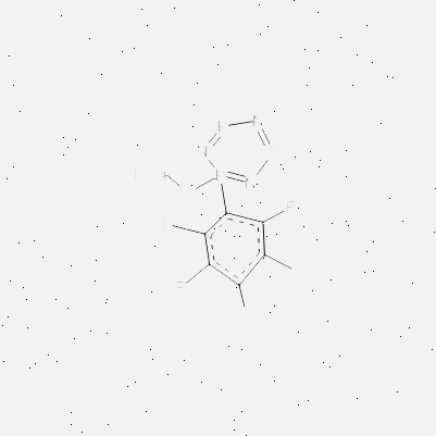 Fc1c(F)c(F)c(P2(O[SiH3])=NP=NP=N2)c(F)c1F